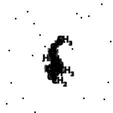 C=CC(=O)Nc1ccccc1-n1c(=O)c(C)nc2cnc(Nc3ccc(OCCOC)cc3)nc21